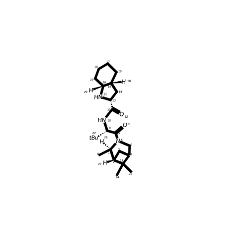 C[C@@H]1[C@@H]2CC(CN1C(=O)[C@@H](NC(=O)[C@H]1C[C@H]3CCCC[C@H]3N1)C(C)(C)C)C2(C)C